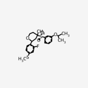 CSc1ccc(C2CC(C)(S(=O)(=O)c3cccc(OC(C)C)c3)CCO2)c(F)c1